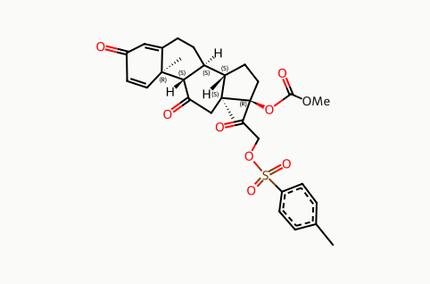 COC(=O)O[C@]1(C(=O)COS(=O)(=O)c2ccc(C)cc2)CC[C@H]2[C@@H]3CCC4=CC(=O)C=C[C@]4(C)[C@H]3C(=O)C[C@@]21C